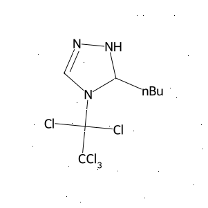 CCCCC1NN=CN1C(Cl)(Cl)C(Cl)(Cl)Cl